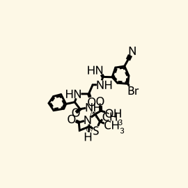 CC1(C)S[C@@H]2CC(=O)N2[C@@]1(NC(=O)C(NC(=O)CNC(=N)c1cc(Br)cc(C#N)c1)c1ccccc1)C(=O)O